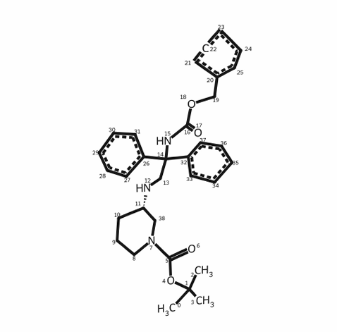 CC(C)(C)OC(=O)N1CCC[C@H](NCC(NC(=O)OCc2ccccc2)(c2ccccc2)c2ccccc2)C1